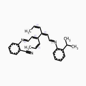 C\C=C/C(=C/C=N/c1ccccc1C(C)C)C(/C=C\C)=C/C=N/c1ccccc1C#N